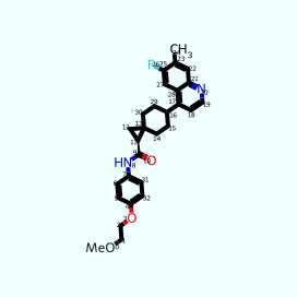 COCCOc1ccc(NC(=O)[C@H]2CC23CCC(c2ccnc4cc(C)c(F)cc24)CC3)cc1